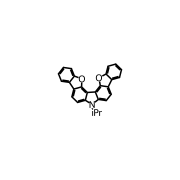 CC(C)n1c2ccc3c4ccccc4oc3c2c2c3oc4ccccc4c3ccc21